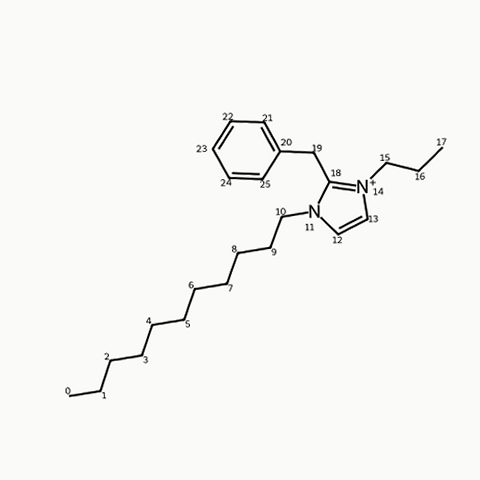 CCCCCCCCCCCn1cc[n+](CCC)c1Cc1ccccc1